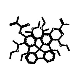 C=C(C)C(=O)Oc1c(OCC)c(OCC)c(C2(c3c(OCC)c(OCC)c(OC(=O)C(=C)C)c(C(C)OCC)c3OCC)c3ccccc3-c3ccccc32)c(OCC)c1C(C)OCC